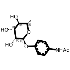 CC(=O)Nc1ccc(O[C@@H]2O[C@@H](C)[C@H](O)[C@@H](O)[C@H]2O)cc1